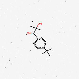 CC(C)(O)C(=O)c1ccc(C(C)(C)C)cc1